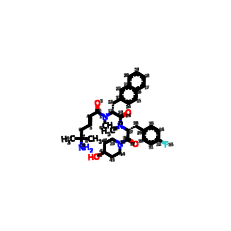 CN(C(=O)/C=C/CC(C)(C)N)[C@H](Cc1ccc2ccccc2c1)C(=O)N(C)[C@H](Cc1ccc(F)cc1)C(=O)N1CCC(O)CC1